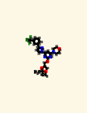 CC1(C)OCC(COc2nc(N3CCOCC3)cc(-n3ccc(-c4cccc(C(F)(F)F)c4)n3)n2)O1